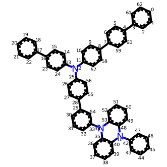 c1ccc(-c2ccc(-c3ccc(N(c4ccc(-c5ccccc5)cc4)c4ccc(-c5cccc(N6c7ccccc7N(c7ccccc7)c7ccccc76)c5)cc4)cc3)cc2)cc1